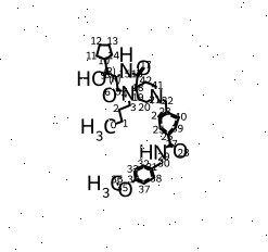 CCCCN1C(=O)[C@@H]([C@H](O)C2CCCC2)NC(=O)C12CCN(Cc1ccc(C(=O)NCc3ccc(OC)cc3)cc1)CC2